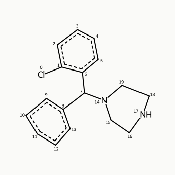 Clc1ccccc1C(c1ccccc1)N1CCNCC1